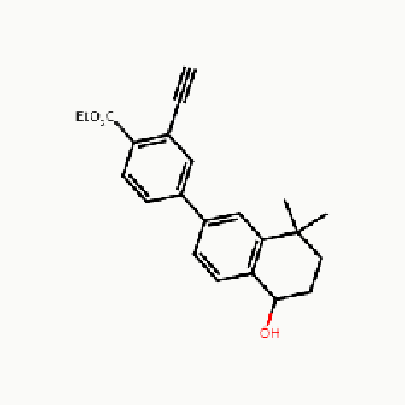 C#Cc1cc(-c2ccc3c(c2)C(C)(C)CCC3O)ccc1C(=O)OCC